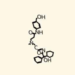 CN(CCC(=O)Nc1ccc(CO)cc1)CCc1cnc([C@](O)(c2ccccc2)C2CCCCC2)o1